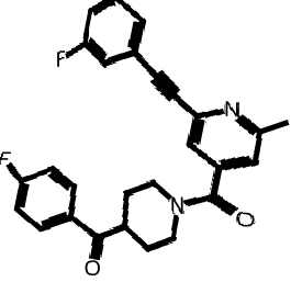 Cc1cc(C(=O)N2CCC(C(=O)c3ccc(F)cc3)CC2)cc(C#Cc2cccc(F)c2)n1